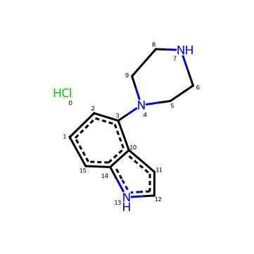 Cl.c1cc(N2CCNCC2)c2cc[nH]c2c1